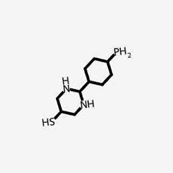 PC1CCC(C2NCC(S)CN2)CC1